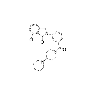 O=C(c1cccc(N2Cc3cccc(Cl)c3C2=O)c1)N1CCC(N2CCCCC2)CC1